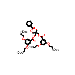 CCCCCCCCCCCCOc1cc(OCCCCCCCCCCCC)cc(C(=O)OCC2(COC(=O)c3cc(OCCCCCCCCCCCC)cc(OCCCCCCCCCCCC)c3)COC(c3ccccc3)OC2)c1